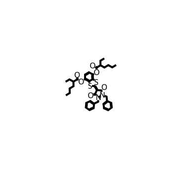 CCCCC(CC)C(=O)Oc1ccc(OC(=O)C(CC)CCCC)c2c1SC(=C1C(=O)N(Cc3ccccc3)N(Cc3ccccc3)C1=O)S2